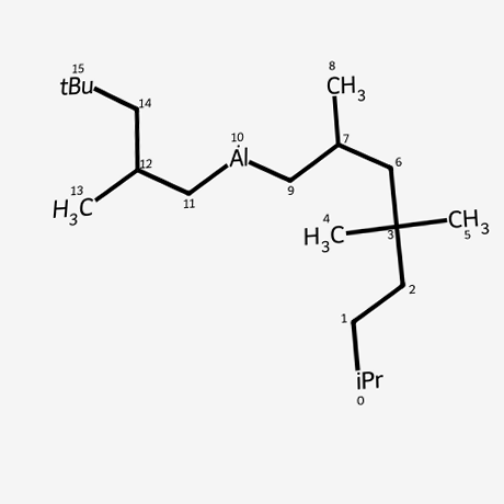 CC(C)CCC(C)(C)CC(C)[CH2][Al][CH2]C(C)CC(C)(C)C